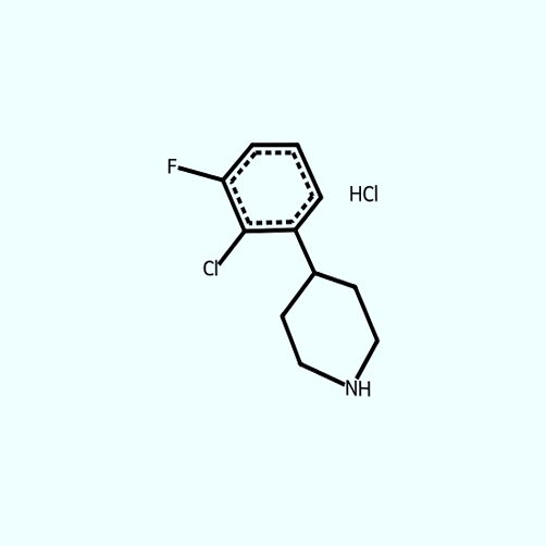 Cl.Fc1cccc(C2CCNCC2)c1Cl